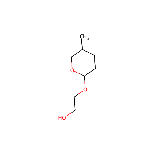 CC1CCC(OCCO)OC1